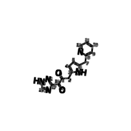 O=C(Cc1ccc(Cc2ccccn2)[nH]1)C(=O)c1nc[nH]n1